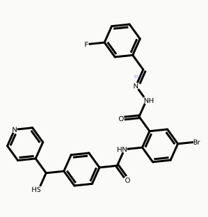 O=C(Nc1ccc(Br)cc1C(=O)N/N=C/c1cccc(F)c1)c1ccc(C(S)c2ccncc2)cc1